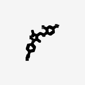 Cc1nn(-c2ccc(C#N)cc2)c(C)c1COc1ccc(Br)cc1F